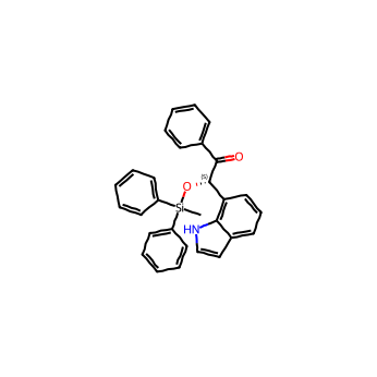 C[Si](O[C@H](C(=O)c1ccccc1)c1cccc2cc[nH]c12)(c1ccccc1)c1ccccc1